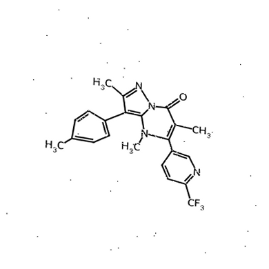 Cc1ccc(-c2c(C)nn3c(=O)c(C)c(-c4ccc(C(F)(F)F)nc4)n(C)c23)cc1